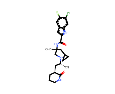 N#C[C@H](C[C@@H]1CCCNC1=O)NC[C@@](C=O)(CC1CC1)NC(=O)c1cc2cc(F)c(Cl)cc2[nH]1